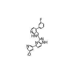 COc1cncc(-c2ccc3[nH]nc(-c4cc5c(-c6cccc(F)c6)ccnc5[nH]4)c3n2)c1